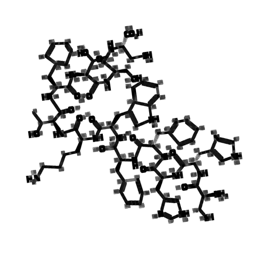 CC(O)[C@H](NC(=O)[C@H](CCCCN)NC(=O)[C@@H](Cc1c[nH]c2ccccc12)NC(=O)[C@H](Cc1ccccc1)NC(=O)[C@H](Cc1ccccc1)NC(=O)[C@H](Cc1c[nH]cn1)NC(=O)[C@H](Cc1c[nH]cn1)NC(=O)[C@@H](N)CS)C(=O)N[C@@H](Cc1ccccc1)C(=O)N[C@H](C(=O)N[C@H](CO)C(=O)N[C@@H](CS)C(=O)O)C(C)O